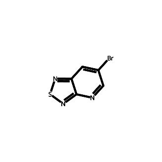 Brc1cnc2nsnc2c1